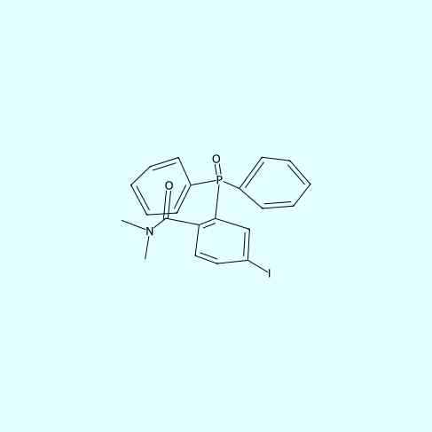 CN(C)C(=O)c1ccc(I)cc1P(=O)(c1ccccc1)c1ccccc1